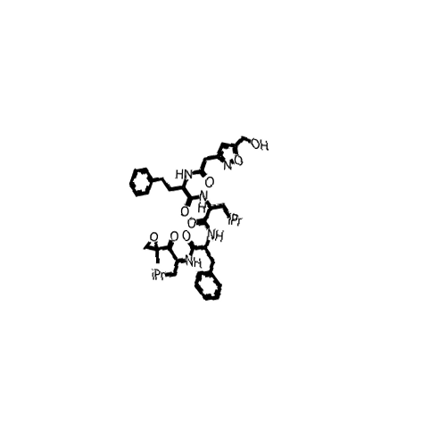 CC(C)CC(NC(=O)C(CCc1ccccc1)NC(=O)Cc1cc(CO)on1)C(=O)NC(Cc1ccccc1)C(=O)NC(CC(C)C)C(=O)C1(C)CO1